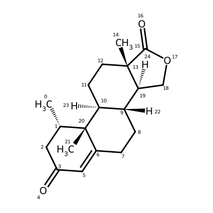 C[C@H]1CC(=O)C=C2CC[C@@H]3[C@H](CC[C@]4(C)C(=O)OC[C@@H]34)[C@]21C